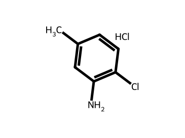 Cc1ccc(Cl)c(N)c1.Cl